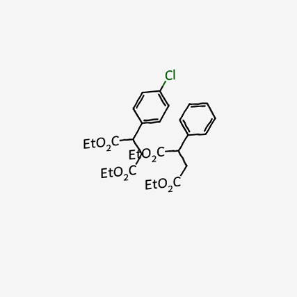 CCOC(=O)CC(C(=O)OCC)c1ccc(Cl)cc1.CCOC(=O)CC(C(=O)OCC)c1ccccc1